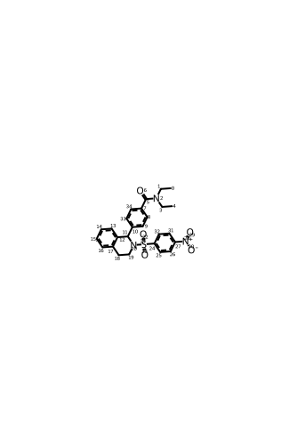 CCN(CC)C(=O)c1ccc(C2c3cc[c]cc3CCN2S(=O)(=O)c2ccc([N+](=O)[O-])cc2)cc1